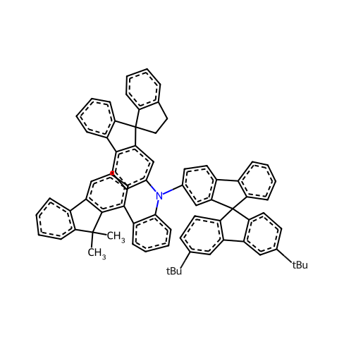 CC(C)(C)c1ccc2c(c1)-c1cc(C(C)(C)C)ccc1C21c2ccccc2-c2ccc(N(c3ccc4c(c3)C3(CCc5ccccc53)c3ccccc3-4)c3ccccc3-c3cccc4c3C(C)(C)c3ccccc3-4)cc21